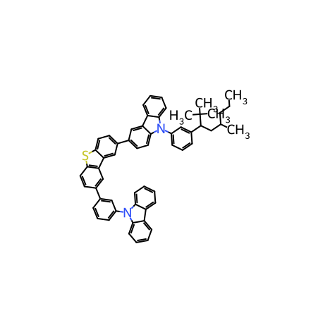 CCCC(C)CC(c1cccc(-n2c3ccccc3c3cc(-c4ccc5sc6ccc(-c7cccc(-n8c9ccccc9c9ccccc98)c7)cc6c5c4)ccc32)c1)C(C)(C)C